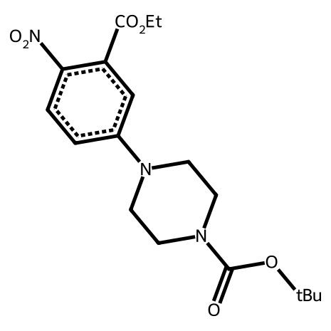 CCOC(=O)c1cc(N2CCN(C(=O)OC(C)(C)C)CC2)ccc1[N+](=O)[O-]